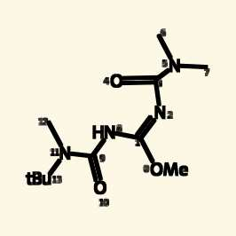 COC(=NC(=O)N(C)C)NC(=O)N(C)C(C)(C)C